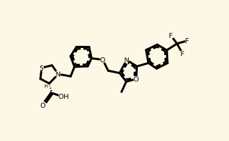 Cc1oc(-c2ccc(C(F)(F)F)cc2)nc1COc1cccc(CN2CSC[C@H]2C(=O)O)c1